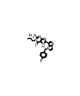 CCCn1c(N)nc2nc(-c3cnn4ccn(Cc5ccc(F)cc5)c34)[nH]c2c1=O